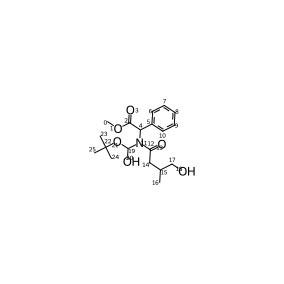 COC(=O)C(c1ccccc1)N(C(=O)CC(C)CO)C(O)OC(C)(C)C